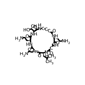 CC(C)C[C@@H]1NC(=O)CNC(=O)[C@@H](CCN)NC(=O)CCCNC(=O)[C@H]([C@@H](C)O)NC(=O)[C@H](CCN)NC(=O)[C@H](CCN)NC1=O